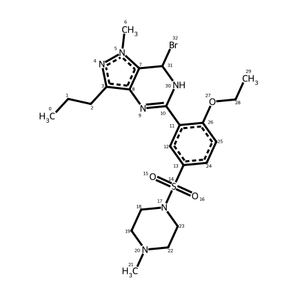 CCCc1nn(C)c2c1N=C(c1cc(S(=O)(=O)N3CCN(C)CC3)ccc1OCC)NC2Br